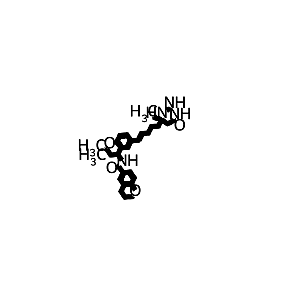 CCC1(CCC/C=C/c2ccc3c(c2)C(NC(=O)c2ccc4c(c2)CCCO4)CC(C)(C)O3)CC(=O)NC(=N)N1